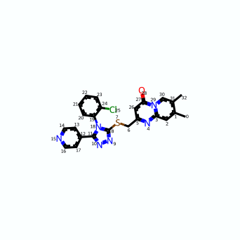 Cc1cc2nc(CSc3nnc(-c4ccncc4)n3-c3ccccc3Cl)cc(=O)n2cc1C